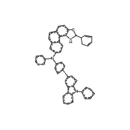 C1=CCC(C2Nc3c(ccc4ccc5cc(N(c6ccccc6)c6ccc(-c7ccc8c(c7)c7ccccc7n8-c7ccccc7)cc6)ccc5c34)O2)C=C1